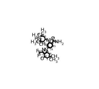 CC1(C)CC(=O)c2c(C(F)F)nn(-c3ccc(C(N)=O)c(NC4CC(C)(C)NC(C)(C)C4)c3)c2C1